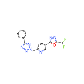 FC(F)c1nnc(-c2ccc(Cn3nnc(-c4ccccc4)n3)nc2)o1